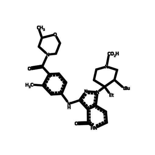 CCC1(n2nc(Nc3ccc(C(=O)N4CCOC(C)C4)c(C)c3)c3c(=O)[nH]ccc32)CCN(C(=O)O)CC1C(C)(C)C